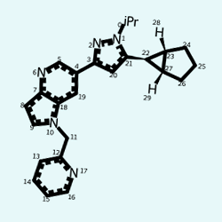 CC(C)n1nc(-c2cnc3ccn(Cc4ccccn4)c3c2)cc1[C@H]1[C@@H]2CCC[C@@H]21